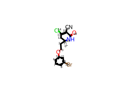 C[C@]1(CCOc2cccc(Br)c2)CC(Cl)=C(C#N)C(=O)N1